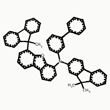 CC1(C)c2ccccc2-c2ccc(N(c3cccc(-c4ccccc4)c3)c3cccc4c3oc3c(C5(C)c6ccccc6-c6ccccc65)cccc34)cc21